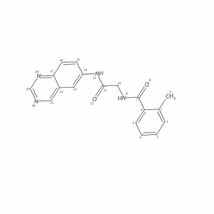 Cc1ccccc1C(=O)NCC(=O)Nc1ccc2ncncc2c1